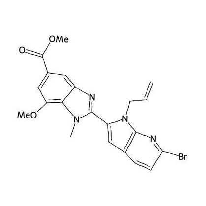 C=CCn1c(-c2nc3cc(C(=O)OC)cc(OC)c3n2C)cc2ccc(Br)nc21